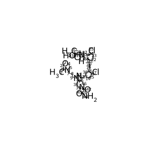 C[C@H]1COCCN1CCCn1nc(-c2ccc(Cl)c(C#Cc3ccc(Cl)c(CNCC(C)(C)O)c3)c2)c2c1CCN(C(=O)C(N)=O)C2